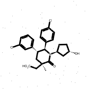 C[C@]1(CC(=O)O)C[C@H](c2cccc(Cl)c2)[C@@H](c2ccc(Cl)cc2)N([C@H]2CC[C@H](O)C2)C1=O